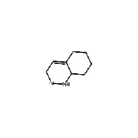 C1=C2CCCCC2N[N]C1